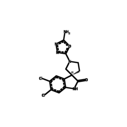 Nc1nnc(N2CC[C@]3(C2)C(=O)Nc2cc(Cl)c(Cl)cc23)o1